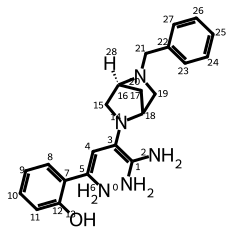 NC(N)=C(/C=C(\N)c1ccccc1O)N1C[C@@H]2CC1CN2Cc1ccccc1